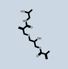 C=C(C)C(=O)OCC(O)COCC(=C)C(=O)NCC(C)O